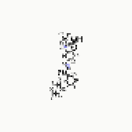 CN1CCN(Cc2ccccc2C(=O)/C=C/c2cccc(/C=C(\C(=O)O)C(C)(C)C)c2)CC1